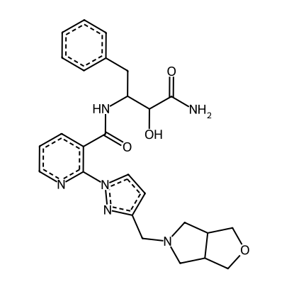 NC(=O)C(O)C(Cc1ccccc1)NC(=O)c1cccnc1-n1ccc(CN2CC3COCC3C2)n1